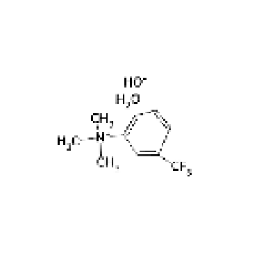 C[N+](C)(C)c1cccc(C(F)(F)F)c1.O.[OH-]